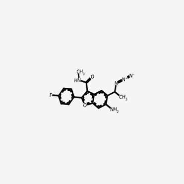 CNC(=O)c1c(-c2ccc(F)cc2)oc2cc(N)c(C(C)N=[N+]=[N-])cc12